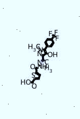 C/C(=N\NC(=O)c1ccc(C(=O)O)s1)c1nn(C)c(-c2ccc(C(F)(F)F)cc2)c1O